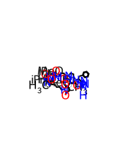 CC[C@H](C)[C@@H]([C@@H](CC(=O)N1CCC[C@H]1[C@H](OC)[C@@H](C)C(=O)N[C@@H](Cc1ccccc1)c1nn[nH]n1)OC)N(C)C(=O)[C@@H](NC(=O)C(C(C)C)N(C)C(=O)CCCCCN1C(=O)C=CC1=O)C(C)C